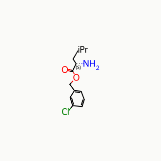 CC(C)C[C@H](N)C(=O)OCc1cccc(Cl)c1